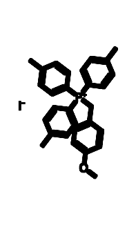 COc1ccc(C[P+](c2ccc(C)cc2)(c2ccc(C)cc2)c2ccc(C)cc2)cc1.[I-]